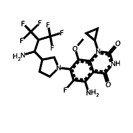 COc1c(N2CCC(C(N)C(C(F)(F)F)C(F)(F)F)C2)c(F)c(N)c2c(=O)[nH]c(=O)n(C3CC3)c12